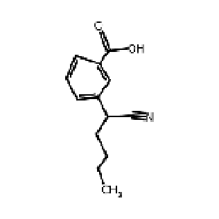 CCCCC(C#N)c1cccc(C(=O)O)c1